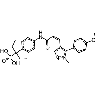 CCC(CC)(c1ccc(NC(=O)/C=C\c2cnn(C)c2-c2ccc(OC)cc2)cc1)P(=O)(O)O